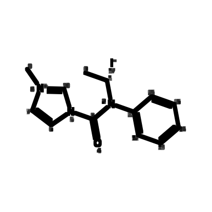 CCN(C(=O)n1cc[n+](C)c1)c1ccccc1.[I-]